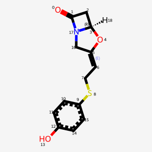 O=C1C[C@H]2O/C(=C/CSc3ccc(O)cc3)CN12